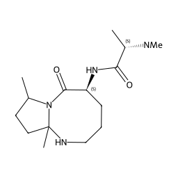 CN[C@@H](C)C(=O)N[C@H]1CCCNC2(C)CCC(C)N2C1=O